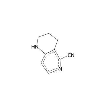 N#Cc1nccc2c1CCCN2